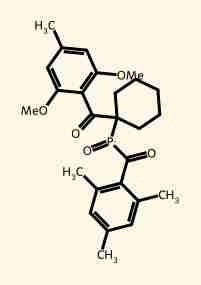 COc1cc(C)cc(OC)c1C(=O)C1([P](=O)C(=O)c2c(C)cc(C)cc2C)CCCCC1